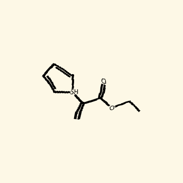 C=C(C(=O)OCC)[SH]1C=CC=C1